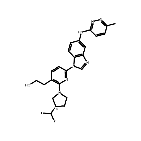 Cc1ccc(Nc2ccc3c(c2)ncn3-c2ccc(CCO)c(N3CC[C@@H](C(F)F)C3)n2)nn1